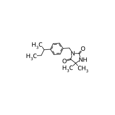 CCC(C)c1ccc(CN2C(=O)NC(C)(C)C2=O)cc1